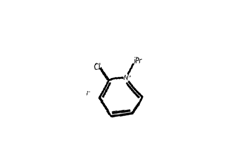 CC(C)[n+]1ccccc1Cl.[I-]